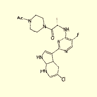 CC(=O)N1CCN(C(=O)[C@H](C)Nc2nc(C3=CNC4NC=C(Cl)CC34)ncc2F)CC1